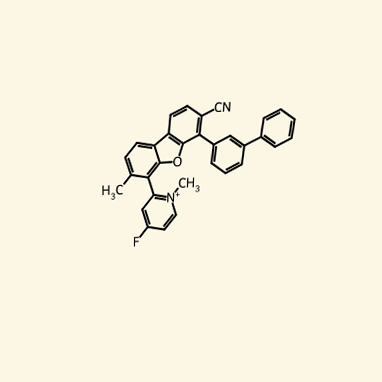 Cc1ccc2c(oc3c(-c4cccc(-c5ccccc5)c4)c(C#N)ccc32)c1-c1cc(F)cc[n+]1C